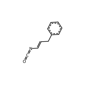 O=C=NC=CCc1ccccc1